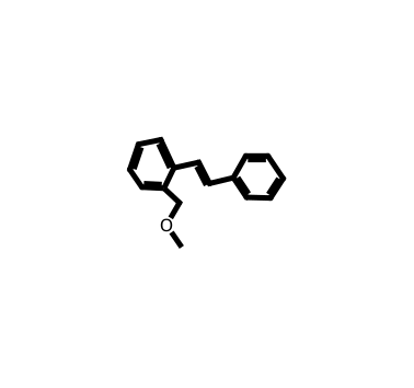 COCc1ccccc1C=Cc1ccccc1